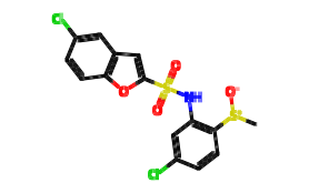 C[S+]([O-])c1ccc(Cl)cc1NS(=O)(=O)c1cc2cc(Cl)ccc2o1